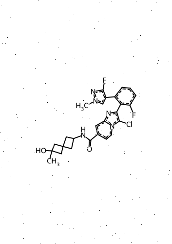 Cn1cc(-c2cccc(F)c2-c2nc3cc(C(=O)NC4CC5(C4)CC(C)(O)C5)ccn3c2Cl)c(F)n1